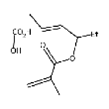 C=C(C)C(=O)OC(C=CC)CC.O=C(O)O